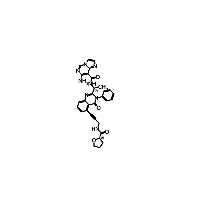 C[C@H](NC(=O)c1c(N)ncn2ccnc12)c1nc2cccc(C#CCNC(=O)[C@H]3CCCO3)c2c(=O)n1-c1ccccc1